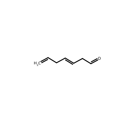 C=CCC=CCC=O